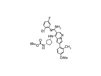 CCc1ccc(F)cc1N=C(N)c1cnn2cc(-c3ccc(OC)cc3C)cc2c1N[C@@H]1CC[C@H](NC(=O)OC(C)(C)C)C1